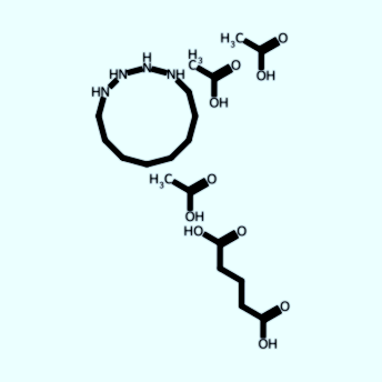 C1CCCCNNNNCCC1.CC(=O)O.CC(=O)O.CC(=O)O.O=C(O)CCCC(=O)O